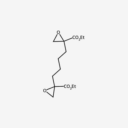 CCOC(=O)C1(CCCCC2(C(=O)OCC)CO2)CO1